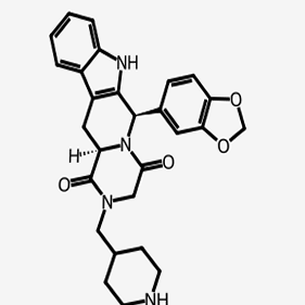 O=C1[C@H]2Cc3c([nH]c4ccccc34)[C@@H](c3ccc4c(c3)OCO4)N2C(=O)CN1CC1CCNCC1